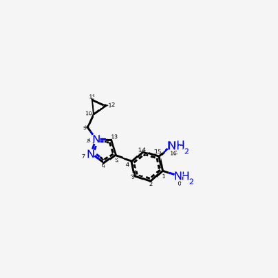 Nc1ccc(-c2cnn(CC3CC3)c2)cc1N